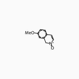 COc1ccc2c(c1)C[N+](=O)C=C2